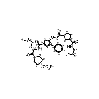 CCOC(=O)N1CCN(C(=O)[C@H](CCC(=O)O)NC(=O)c2cc(OCC(=O)N3CCC(C(=O)NCC(F)F)C3)n(-c3ccccc3)n2)CC1